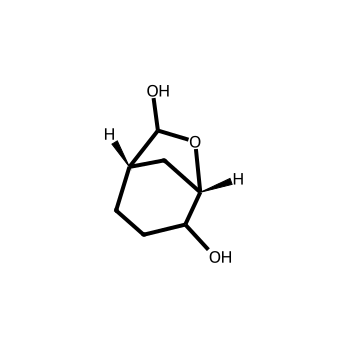 OC1O[C@H]2C[C@@H]1CCC2O